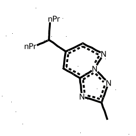 CCCC(CCC)c1cnn2nc(C)nc2c1